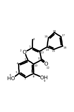 Cc1oc2cc(O)cc(O)c2c(=O)c1-c1ccccc1